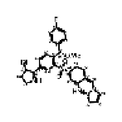 CO[C@@H](c1ccc(F)cc1)c1ccc(C2NCCC2O)nc1S(=O)(=O)[C@@H]1CCC2=CN3C=CCN3NC2C1